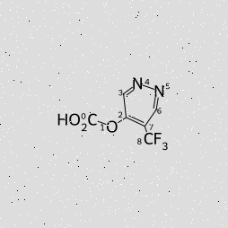 O=C(O)Oc1cnncc1C(F)(F)F